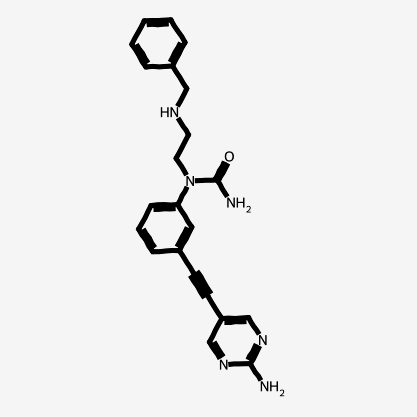 NC(=O)N(CCNCc1ccccc1)c1cccc(C#Cc2cnc(N)nc2)c1